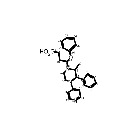 CC1C(c2ccccc2)N(c2ccncc2)CCN1C(CCC(=O)O)Oc1ccccc1